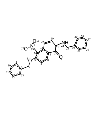 O=C1c2ccc(OCc3ccccc3)c([N+](=O)[O-])c2C=CC1NCc1ccccc1